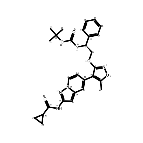 Cc1onc(OC[C@@H](NC(=O)OC(C)(C)C)c2ccccc2)c1-c1ccn2nc(NC(=O)C3CC3)cc2c1